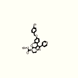 CC(C)c1ccc(COc2ccc(-c3c(-c4ccncc4)nn4c3C(=O)N(C(=O)OC(C)(C)C)CC4)c(F)c2)cc1